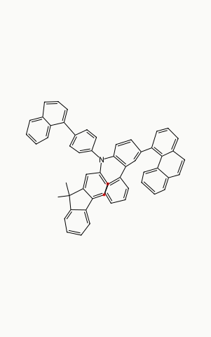 CC1(C)c2ccccc2-c2ccc(N(c3ccc(-c4cccc5ccccc45)cc3)c3ccc(-c4cccc5ccc6ccccc6c45)cc3-c3ccccc3)cc21